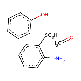 C=O.Nc1ccccc1S(=O)(=O)O.Oc1ccccc1